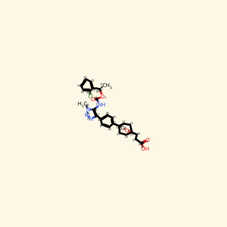 C[C@@H](OC(=O)Nc1c(-c2ccc(C34CCC(CCC(=O)O)(CC3)OC4)cc2)nnn1C)c1ccccc1Cl